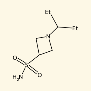 CCC(CC)N1CC(S(N)(=O)=O)C1